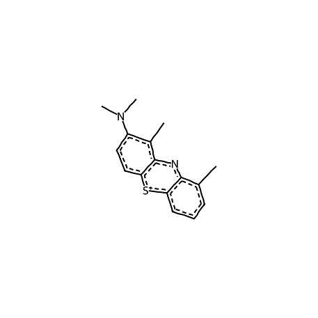 Cc1cccc2[s+]c3ccc(N(C)C)c(C)c3nc12